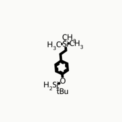 CC(C)(C)[SiH2]Oc1ccc(CC[Si](C)(C)C)cc1